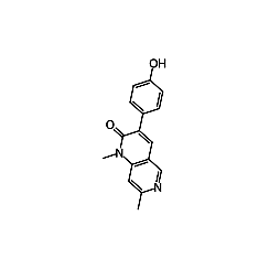 Cc1cc2c(cn1)cc(-c1ccc(O)cc1)c(=O)n2C